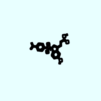 COC(=O)CCC1CN(S(=O)(=O)c2ccc(C(C)C)cc2)c2ccc(OC)cc21